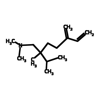 C=CC(=C)CCC(C)(CN(C)C)C(C)C